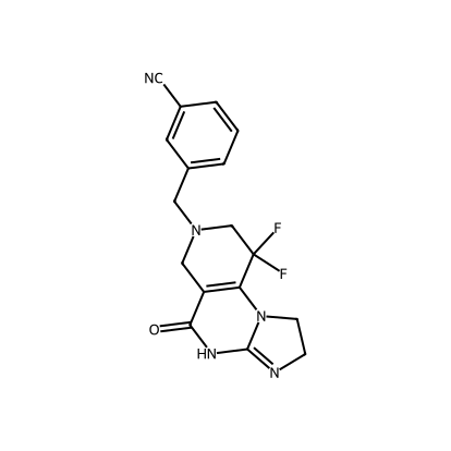 N#Cc1cccc(CN2CC3=C(N4CCN=C4NC3=O)C(F)(F)C2)c1